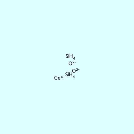 [Ge+4].[O-2].[O-2].[SiH4].[SiH4]